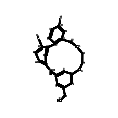 OCc1cc2nc(c1)OCCCOc1cc(F)ccc1-c1cc(ncc1F)N2